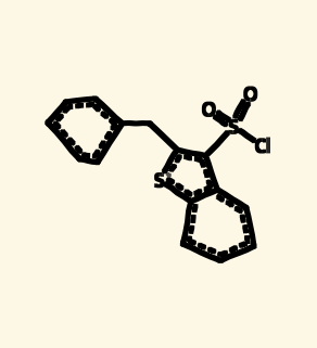 O=S(=O)(Cl)c1c(Cc2ccccc2)sc2ccccc12